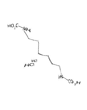 Cl.Cl.O=C(O)NCCCCCCNC(=O)O